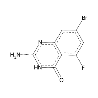 Nc1nc2cc(Br)cc(F)c2c(=O)[nH]1